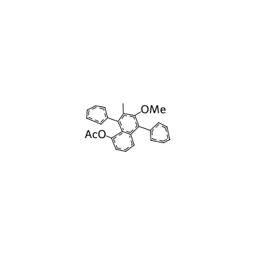 COc1c(C)c(-c2ccccc2)c2c(OC(C)=O)cccc2c1-c1ccccc1